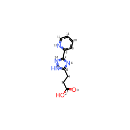 O=C(O)CCc1nc(-c2ccccn2)n[nH]1